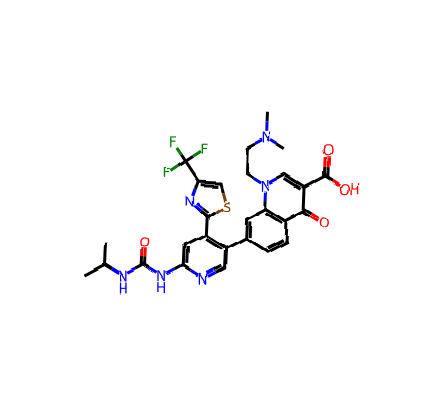 CC(C)NC(=O)Nc1cc(-c2nc(C(F)(F)F)cs2)c(-c2ccc3c(=O)c(C(=O)O)cn(CCN(C)C)c3c2)cn1